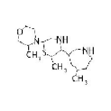 CC1CCNCC(C2NCC(N3CCOCC3C)SC2C)C1